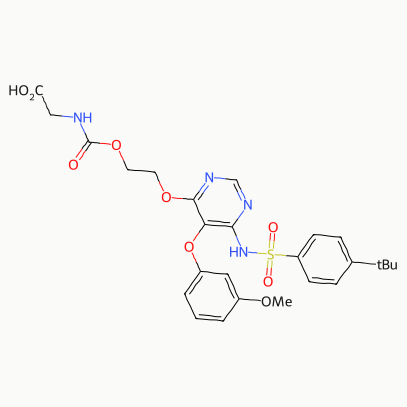 COc1cccc(Oc2c(NS(=O)(=O)c3ccc(C(C)(C)C)cc3)ncnc2OCCOC(=O)NCC(=O)O)c1